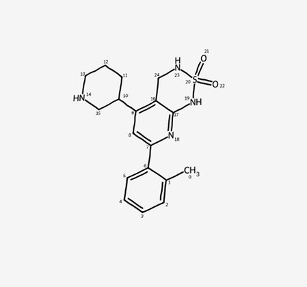 Cc1ccccc1-c1cc(C2CCCNC2)c2c(n1)NS(=O)(=O)NC2